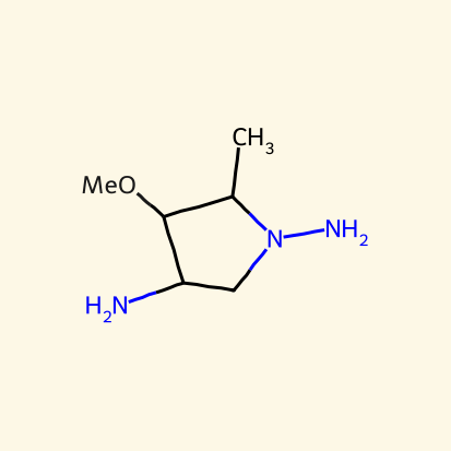 COC1C(N)CN(N)C1C